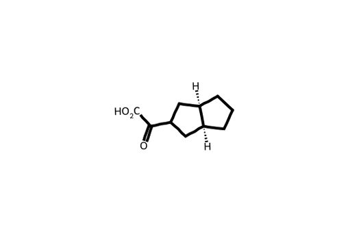 O=C(O)C(=O)C1C[C@H]2CCC[C@H]2C1